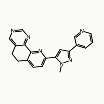 Cn1nc(-c2cccnc2)cc1-c1ccc2c(n1)-c1ncncc1CC2